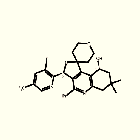 CC(C)c1nc2c(c3c1[C@@H](c1ncc(C(F)(F)F)cc1F)OC31CCOCC1)[C@@H](O)CC(C)(C)C2